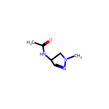 CC(=O)NC1C=NN(C)C1